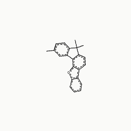 Cc1ccc2c(c1)-c1c(ccc3c1oc1ccccc13)C2(C)C